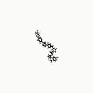 Cc1ccc(C(C)C)c(N2C(=O)CS/C2=N\C(=S)NC/C(Br)=C\c2ccc(-c3ncn(-c4ccc(OC(F)(F)F)cc4)n3)cc2)c1